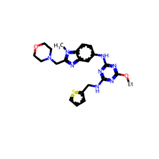 CCOc1nc(NCc2cccs2)nc(Nc2ccc3c(c2)nc(CN2CCOCC2)n3C)n1